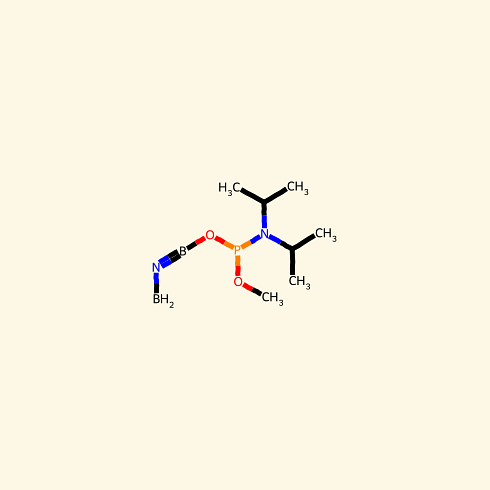 BN=BOP(OC)N(C(C)C)C(C)C